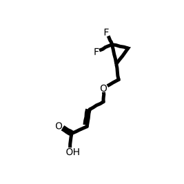 O=C(O)C=CCOCC1CC1(F)F